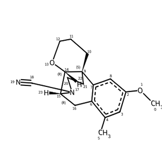 COc1cc(C)c2c(c1)[C@@]13CCCO[C@H]1[C@@H](C2)N(C#N)CC3